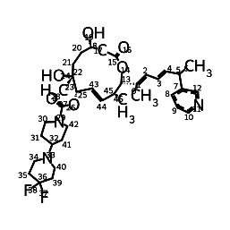 C/C(=C\C=C\C(C)c1cccnc1)[C@H]1OC(=O)C[C@H](O)CC[C@@](C)(O)[C@@H](OC(=O)N2CCC(N3CCC(F)(F)CC3)CC2)/C=C/[C@@H]1C